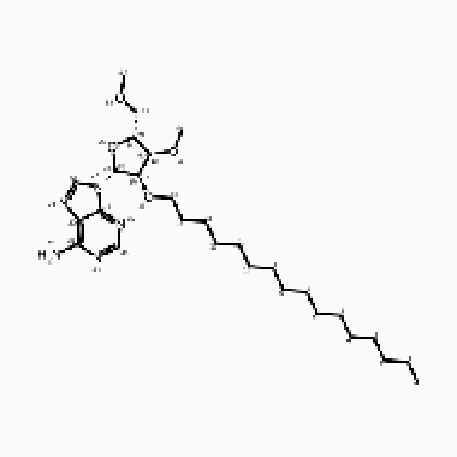 CCCCCCCCCCCCCCCCO[C@@H]1[C@H](OC)[C@@H](COC)O[C@H]1n1cnc2c(N)ncnc21